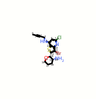 CC#CCNc1cc(Cl)nc2c(Br)c([C@H]3OCCC[C@@H]3N)sc12